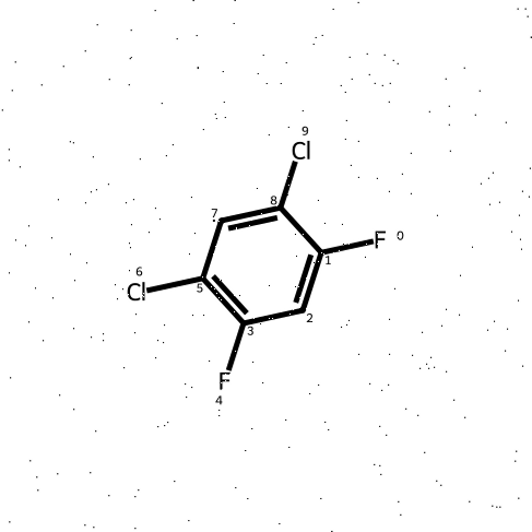 Fc1cc(F)c(Cl)[c]c1Cl